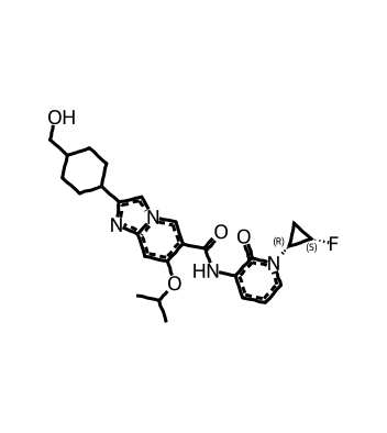 CC(C)Oc1cc2nc(C3CCC(CO)CC3)cn2cc1C(=O)Nc1cccn([C@@H]2C[C@@H]2F)c1=O